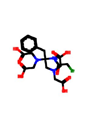 O=C(O)CN(CC(=O)O)CC(Cc1ccccc1)(NC(=O)CBr)N(CC(=O)O)CC(=O)O